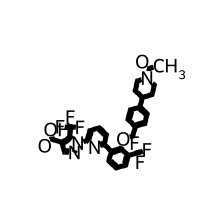 CC(=O)N1CCC(c2ccc(COc3c(-c4cccc(-n5ncc(C(=O)O)c5C(F)(F)F)n4)cccc3C(F)(F)F)cc2)CC1